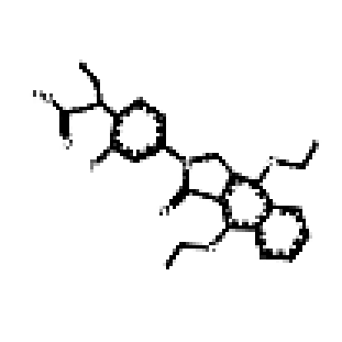 CCOc1c2c(c(OCC)c3ccccc13)C(=O)N(c1ccc(C(CC)C(=O)O)c(F)c1)C2